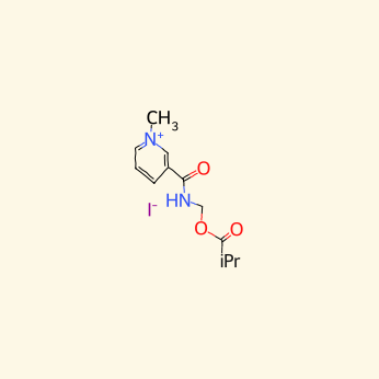 CC(C)C(=O)OCNC(=O)c1ccc[n+](C)c1.[I-]